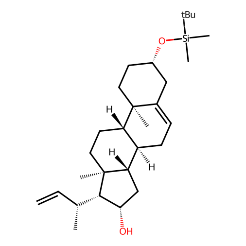 C=C[C@@H](C)[C@H]1[C@@H](O)C[C@H]2[C@@H]3CC=C4C[C@@H](O[Si](C)(C)C(C)(C)C)CC[C@]4(C)[C@H]3CC[C@]12C